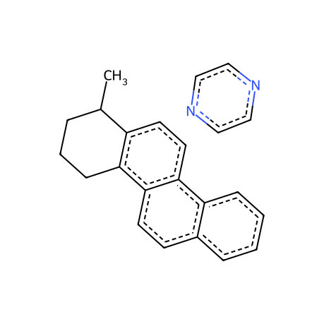 CC1CCCc2c1ccc1c2ccc2ccccc21.c1cnccn1